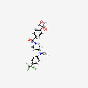 CN(c1ccc(C(F)(F)F)cc1)C1CCN(C(=O)c2ccc(C3(O)COC3)cc2)CC1